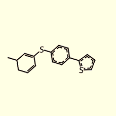 CC1C=C(Sc2ccc(-c3cccs3)cc2)C=CC1